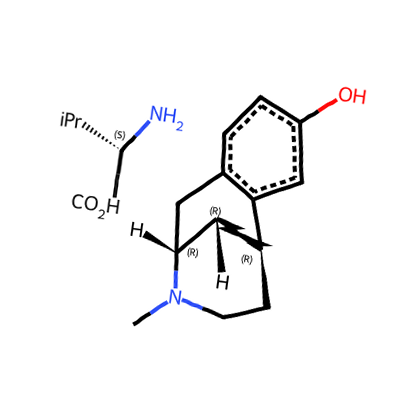 CC(C)[C@H](N)C(=O)O.CN1CC[C@]23CCCC[C@H]2[C@H]1Cc1ccc(O)cc13